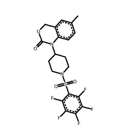 Cc1ccc2c(c1)COC(=O)N2C1CCN(S(=O)(=O)c2c(F)c(F)c(F)c(F)c2F)CC1